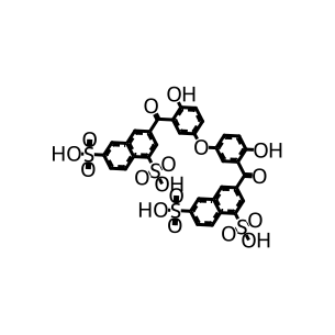 O=C(c1cc(S(=O)(=O)O)c2ccc(S(=O)(=O)O)cc2c1)c1cc(Oc2ccc(O)c(C(=O)c3cc(S(=O)(=O)O)c4ccc(S(=O)(=O)O)cc4c3)c2)ccc1O